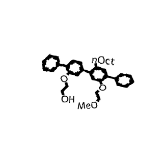 CCCCCCCCc1cc(-c2ccccc2)c(OCCOC)cc1-c1ccc(-c2ccccc2)c(OCCO)c1